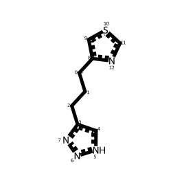 [CH](CCc1c[nH]nn1)c1cscn1